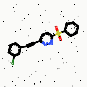 O=S(=O)(c1ccccc1)c1ccc(C#Cc2cccc(Cl)c2)nn1